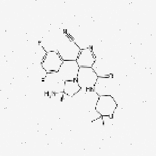 CC1(C)CC(NC(=O)c2cnc(C#N)c(-c3cc(F)cc(F)c3)c2N2CC[C@](C)(N)C2)CCO1